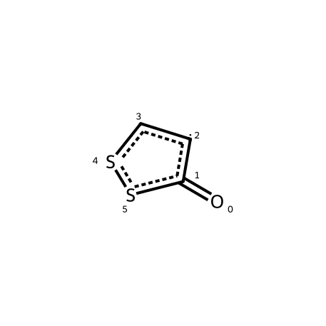 O=c1[c]css1